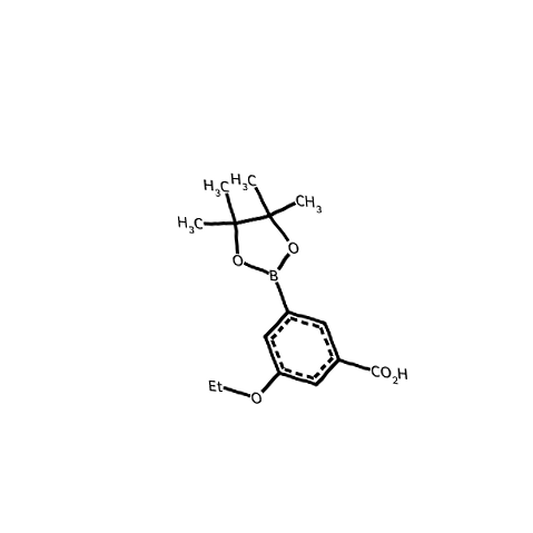 CCOc1cc(B2OC(C)(C)C(C)(C)O2)cc(C(=O)O)c1